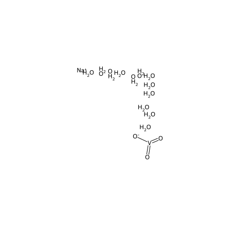 O.O.O.O.O.O.O.O.O.O.O.O.[Na+].[O]=[V](=[O])[O-]